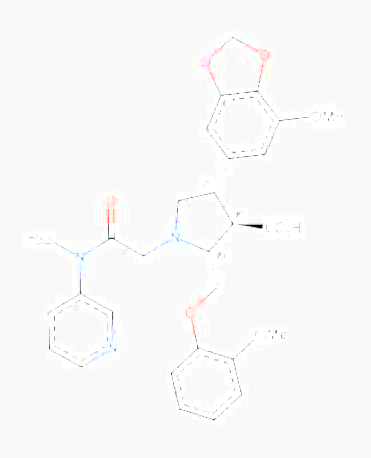 CCCCN(C(=O)CN1C[C@H](c2cc(OC)c3c(c2)OCO3)[C@@H](C(=O)O)[C@@H]1COc1ccccc1OC)c1cccnc1